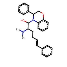 CCN(CC)C(CCC=Cc1ccccc1)C(O)N1c2ccccc2OCC1c1ccccc1